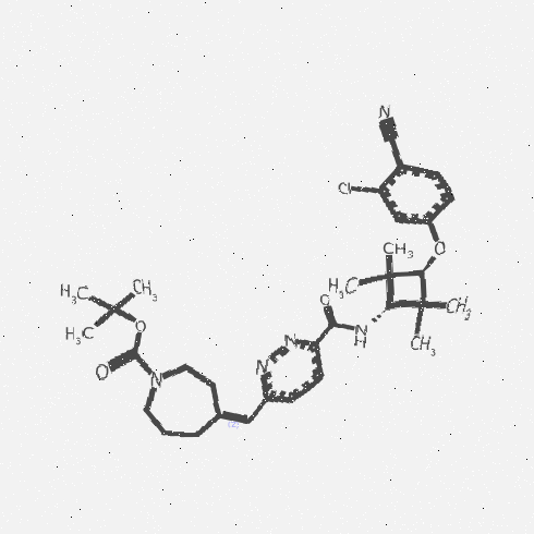 CC(C)(C)OC(=O)N1CCC/C(=C/c2ccc(C(=O)N[C@H]3C(C)(C)[C@H](Oc4ccc(C#N)c(Cl)c4)C3(C)C)nn2)CC1